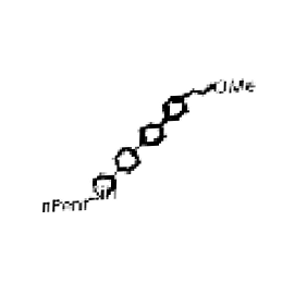 CCCCC[SiH]1CCC([C@H]2CC[C@H](c3ccc(-c4ccc(CCCOC)cc4)cc3)CC2)CC1